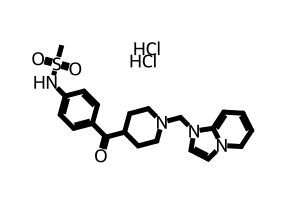 CS(=O)(=O)Nc1ccc(C(=O)C2CCN(CN3C=CN4CC=CC=C43)CC2)cc1.Cl.Cl